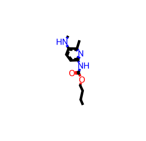 CCCCOC(=O)Nc1ccc(NC)c(C)n1